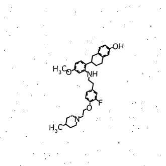 COc1ccc(C2CCc3cc(O)ccc3C2)c(NCCc2ccc(OCCN3CCC(C)CC3)c(F)c2)c1